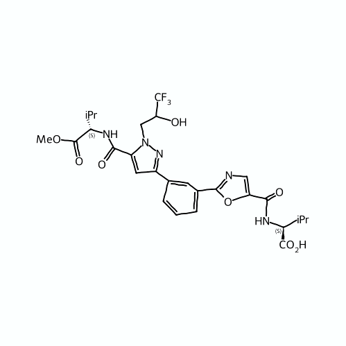 COC(=O)[C@@H](NC(=O)c1cc(-c2cccc(-c3ncc(C(=O)N[C@H](C(=O)O)C(C)C)o3)c2)nn1CC(O)C(F)(F)F)C(C)C